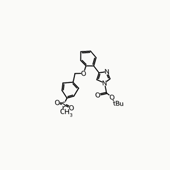 CC(C)(C)OC(=O)n1cnc(-c2ccccc2OCc2ccc(S(C)(=O)=O)cc2)c1